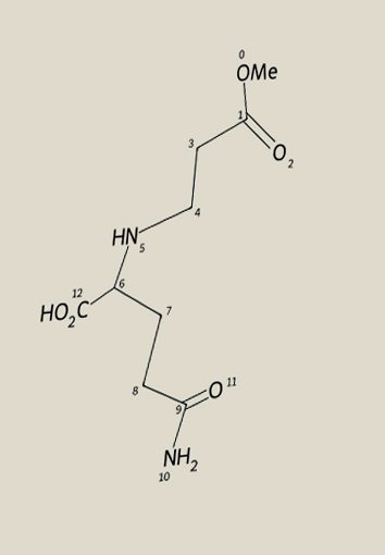 COC(=O)CCNC(CCC(N)=O)C(=O)O